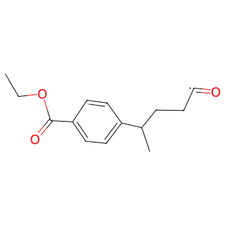 CCOC(=O)c1ccc(C(C)CC[C]=O)cc1